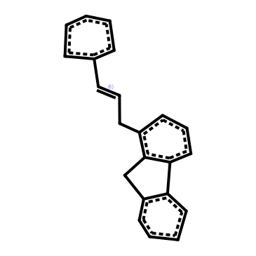 C(=C\c1ccccc1)/Cc1cccc2c1Cc1ccccc1-2